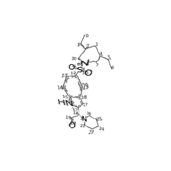 CCC1CC(CC)CN(S(=O)(=O)c2ccc3[nH]c(C(C=O)N4CCCCC4)cc3c2)C1